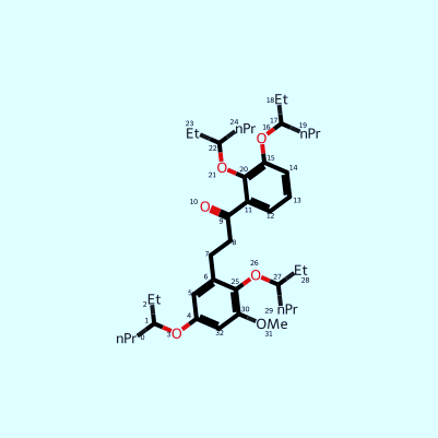 CCCC(CC)Oc1cc(CCC(=O)c2cccc(OC(CC)CCC)c2OC(CC)CCC)c(OC(CC)CCC)c(OC)c1